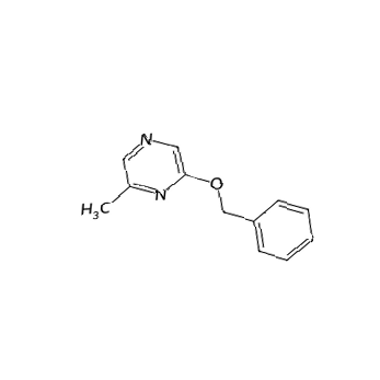 Cc1cncc(OCc2ccccc2)n1